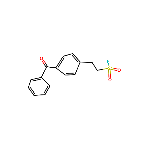 O=C(c1ccccc1)c1ccc(CCS(=O)(=O)F)cc1